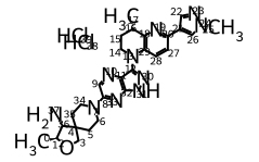 C[C@@H]1OCC2(CCN(c3cnc4c(N5CC[C@H](C)c6nc(-c7cnn(C)c7)ccc65)n[nH]c4n3)CC2)[C@@H]1N.Cl.Cl